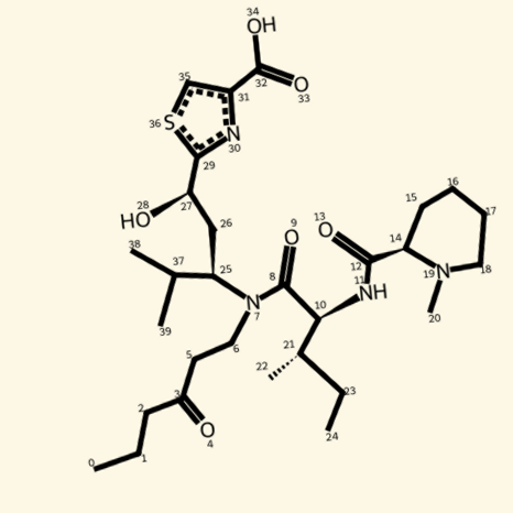 CCCC(=O)CCN(C(=O)[C@@H](NC(=O)[C@H]1CCCCN1C)[C@@H](C)CC)[C@H](C[C@@H](O)c1nc(C(=O)O)cs1)C(C)C